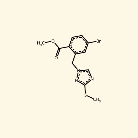 COC(=O)c1ccc(Br)cc1Cn1cnc(SC)n1